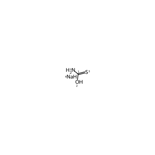 NC(O)=S.[NaH]